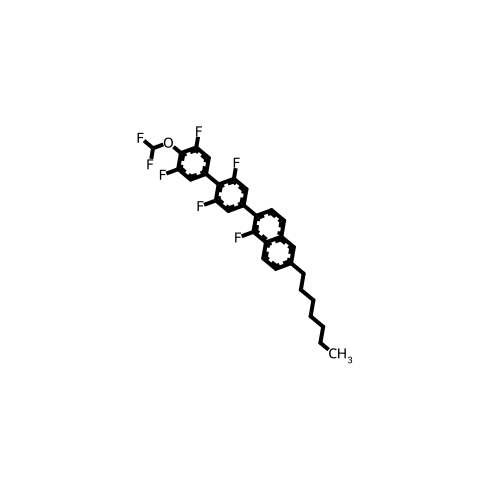 CCCCCCCc1ccc2c(F)c(-c3cc(F)c(-c4cc(F)c(OC(F)F)c(F)c4)c(F)c3)ccc2c1